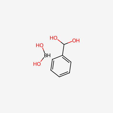 OBO.OC(O)c1ccccc1